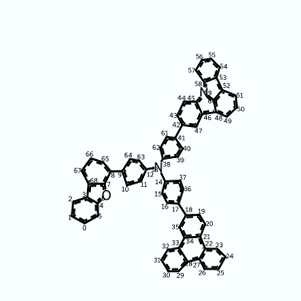 c1ccc2c(c1)oc1c(-c3ccc(N(c4ccc(-c5ccc6c7ccccc7c7ccccc7c6c5)cc4)c4ccc(-c5ccc6c(c5)c5cccc7c8ccccc8n6c75)cc4)cc3)cccc12